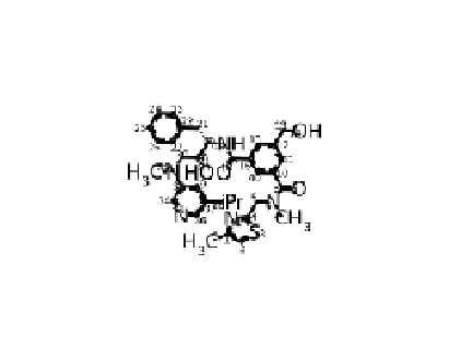 Cc1csc(CN(C)C(=O)c2cc(CO)cc(C(=O)N[C@@H](Cc3ccccc3)[C@H](O)CN(C)c3cncc(C(C)C)c3)c2)n1